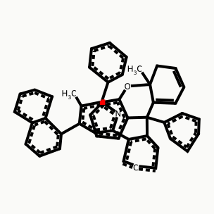 Cc1c(-c2cccc3ccccc23)cc(-c2ccccc2C2(c3ccccc3)C3=CC=CCC3(C)Oc3ccccc32)nc1-c1ccccc1